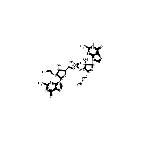 Nc1nc2c(ncn2[C@@H]2O[C@H](COP=O)[C@@H](O[P@](=O)(S)OC[C@H]3O[C@@H](n4cnc5c(=O)[nH]c(N)nc54)[C@H](CCS)[C@@H]3O)[C@H]2O)c(=O)[nH]1